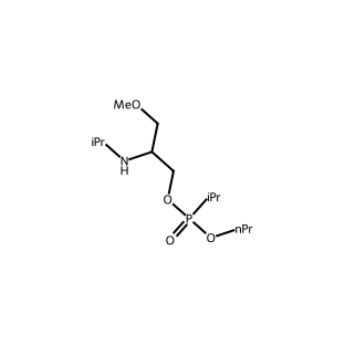 CCCOP(=O)(OCC(COC)NC(C)C)C(C)C